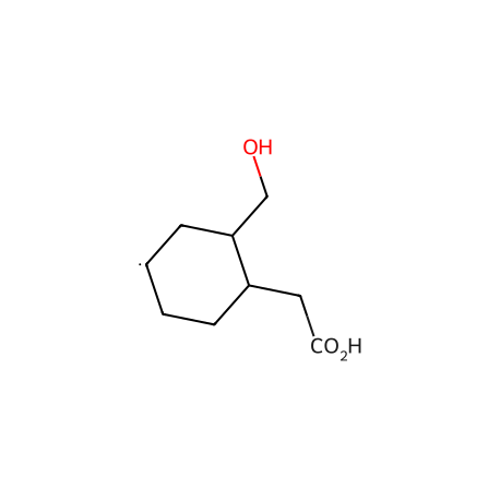 O=C(O)CC1CC[CH]CC1CO